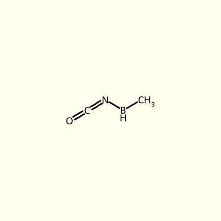 CBN=C=O